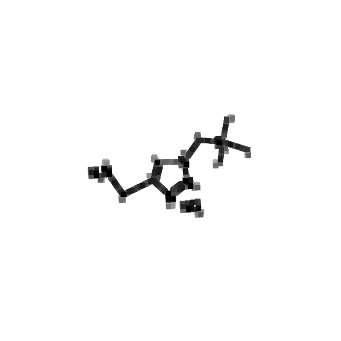 C[Si](C)(C)Cn1cc(CN)nn1.Cl